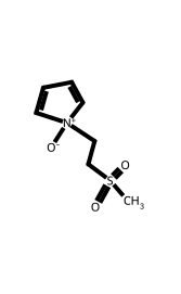 CS(=O)(=O)CC[N+]1([O-])C=CC=C1